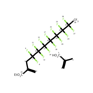 C=C(C)C(=O)O.C=C(CC(F)(F)C(F)(F)C(F)(F)C(F)(F)C(F)(F)C(F)(F)C(F)(F)C(F)(F)F)C(=O)OCC